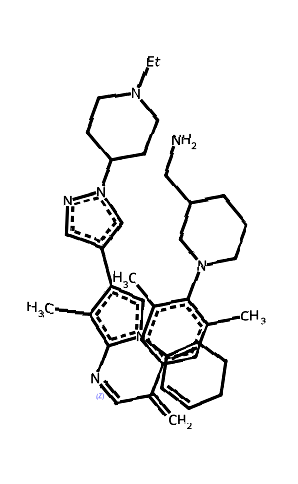 C=C(/C=N\c1c(C)c(-c2cnn(C3CCN(CC)CC3)c2)cn1C1=CCCC=C1)c1cc(C)c(N2CCCC(CN)C2)c(C)c1